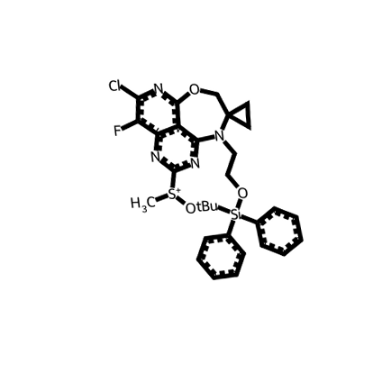 C[S+]([O-])c1nc2c3c(nc(Cl)c(F)c3n1)OCC1(CC1)N2CCO[Si](c1ccccc1)(c1ccccc1)C(C)(C)C